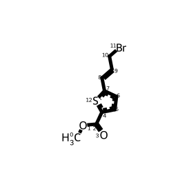 COC(=O)c1ccc(C=CCBr)s1